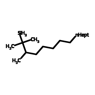 CCCCCCCCCCCCC(C)C(C)(C)[SiH3]